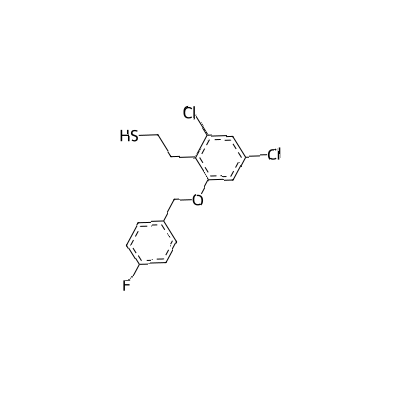 Fc1ccc(COc2cc(Cl)cc(Cl)c2CCS)cc1